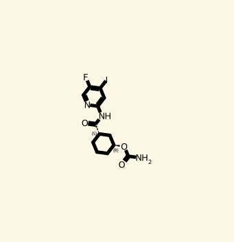 NC(=O)O[C@@H]1CCC[C@H](C(=O)Nc2cc(I)c(F)cn2)C1